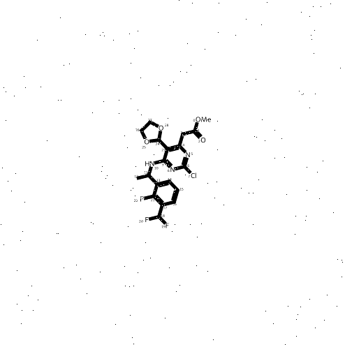 COC(=O)Cc1nc(Cl)nc(NC(C)c2cccc(C(F)F)c2F)c1C1OCCO1